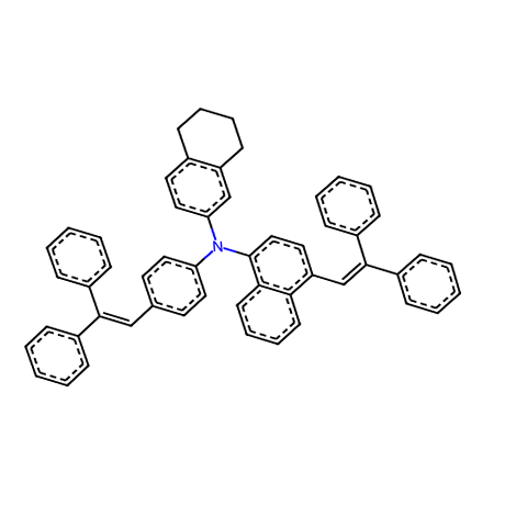 C(=C(c1ccccc1)c1ccccc1)c1ccc(N(c2ccc3c(c2)CCCC3)c2ccc(C=C(c3ccccc3)c3ccccc3)c3ccccc23)cc1